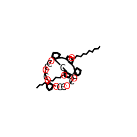 CCCCCCCCCCOc1c2cccc1Cc1cccc3c1OCCOCCOc1ccccc1OCCOCCOc1c(cccc1Cc1cccc(c1OCCCCCCCCCC)C3)C2